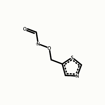 O=C[N]OCc1cncs1